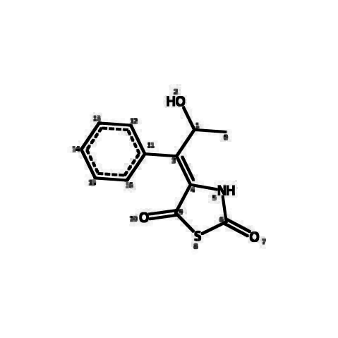 CC(O)C(=C1NC(=O)SC1=O)c1ccccc1